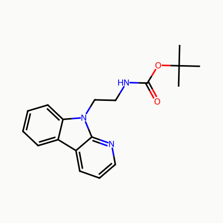 CC(C)(C)OC(=O)NCCn1c2ccccc2c2cccnc21